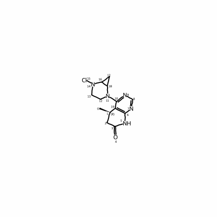 C[C@@H]1CC(=O)Nc2ncnc(N3CCN(Cl)C4CC43)c21